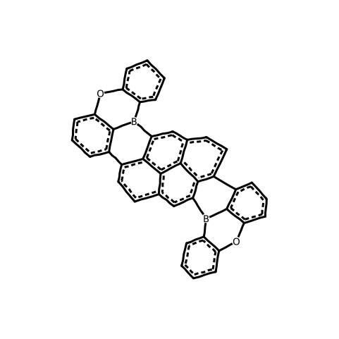 c1ccc2c(c1)Oc1cccc3c1B2c1cc2ccc4c5c(cc6ccc-3c1c6c25)B1c2ccccc2Oc2cccc-4c21